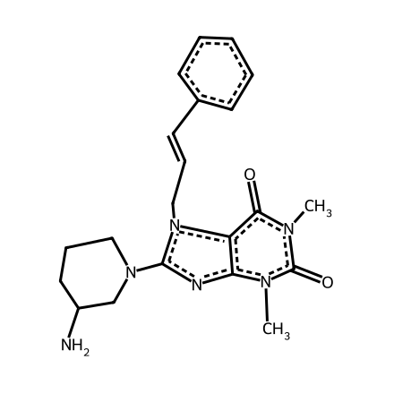 Cn1c(=O)c2c(nc(N3CCCC(N)C3)n2CC=Cc2ccccc2)n(C)c1=O